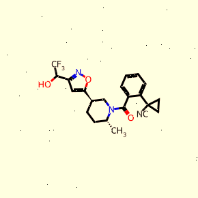 C[C@@H]1CC[C@@H](c2cc(C(O)C(F)(F)F)no2)CN1C(=O)c1ccccc1C1(C#N)CC1